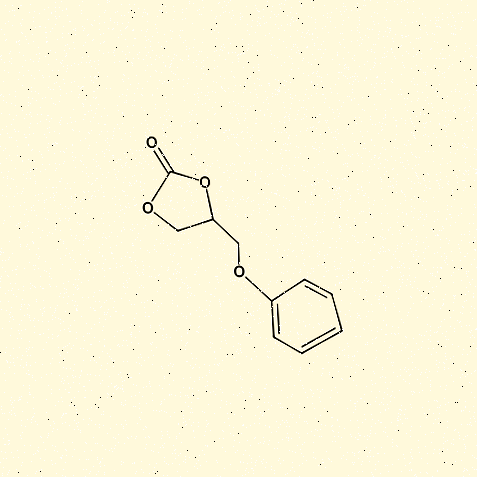 O=C1OCC(COc2ccccc2)O1